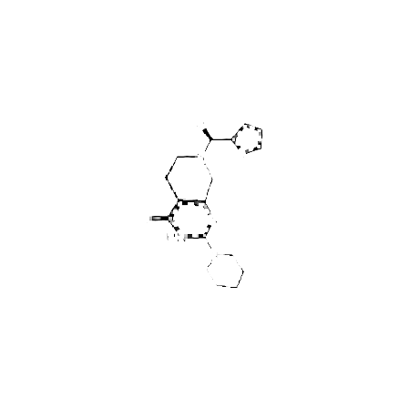 O=C(c1cccs1)N1CCc2c(nc(N3CCCCC3)[nH]c2=O)C1